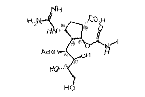 CC(=O)N[C@H]([C@@H](O)[C@@H](O)CO)[C@@H]1[C@H](OC(=O)NI)[C@@H](C(=O)O)C[C@H]1NC(=N)N